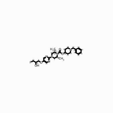 C[C@@H]1CN(c2ncc(OCC(O)CF)cn2)C[C@H](C)N1C(=O)OC1CCN(Cc2ccccc2)CC1